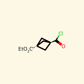 CCOC(=O)[C@]12C[C@@](C(=O)Cl)(C1)C2